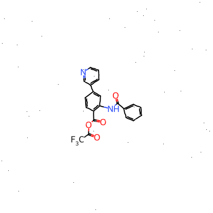 O=C(Nc1cc(-c2cccnc2)ccc1C(=O)OC(=O)C(F)(F)F)c1ccccc1